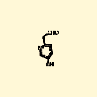 O=CCc1ccc(O)cn1